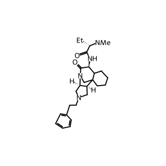 CC[C@H](NC)C(=O)N[C@@H]1C(=O)N2CC3(CCCCC13)[C@H]1CN(CCc3ccccc3)C[C@H]12